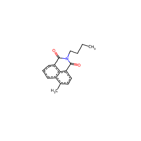 CCCCN1C(=O)c2cccc3c(C)ccc(c23)C1=O